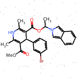 COC(=O)C1=C(C)NC(C)=C(C(=O)OC(C)n2cc3ccccc3c2)C1c1cccc(Br)c1